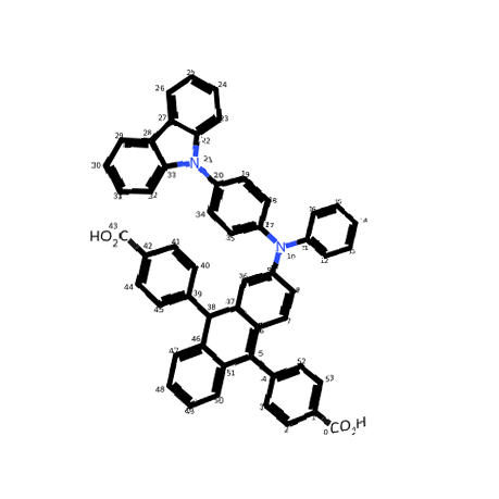 O=C(O)c1ccc(C2=C3C=CC(N(c4ccccc4)c4ccc(-n5c6ccccc6c6ccccc65)cc4)=CC3C(c3ccc(C(=O)O)cc3)c3ccccc32)cc1